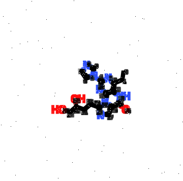 CCc1nc(-n2ccnc2)nc2c1[nH]c(=O)c1cnc(CCC(O)CO)n12